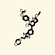 CCOc1ccc2cc(-c3ccc4nc(CCN5CCOCC5)n(C)c4c3)c(=O)n(-c3ccc(OC(F)F)cc3)c2n1